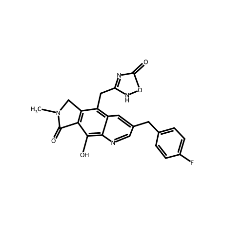 CN1Cc2c(c(O)c3ncc(Cc4ccc(F)cc4)cc3c2Cc2nc(=O)o[nH]2)C1=O